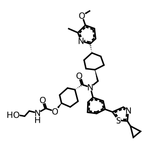 COc1ccc([C@H]2CC[C@H](CN(c3cccc(-c4cnc(C5CC5)s4)c3)C(=O)[C@H]3CC[C@H](OC(=O)NCCO)CC3)CC2)nc1C